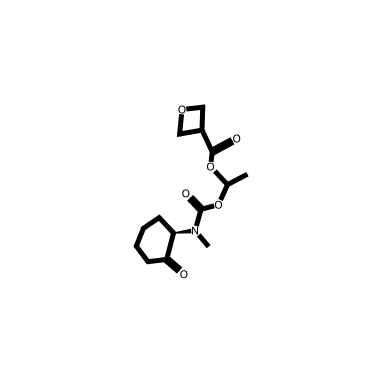 CC(OC(=O)C1COC1)OC(=O)N(C)[C@@H]1CCCCC1=O